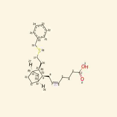 O=C(O)CCC/C=C\C[C@H]1[C@H]2CC[C@H](C2)[C@H]1CCSCc1ccccc1